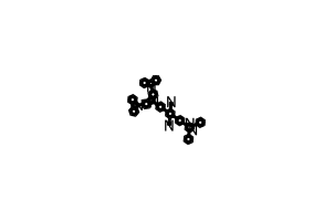 N#Cc1cc(-c2ccc(-n3c4ccc(-n5c6ccccc6c6ccccc65)cc4c4cc(-n5c6ccccc6c6ccccc65)ccc43)cc2)c(C#N)cc1-c1ccc(-c2cc(-c3ccccc3)nc(-c3ccccc3)n2)cc1